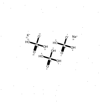 O=P(O)(O)O.O=P([O-])(O)O.O=P([O-])(O)O.[K+].[Na+]